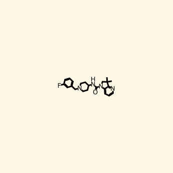 CC1(C)CN(C(=O)NC2CCN(Cc3cccc(F)c3)CC2)c2cccnc21